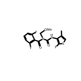 COCN(C(=O)Nc1c(C)csc1F)C(=O)c1c(F)cccc1F